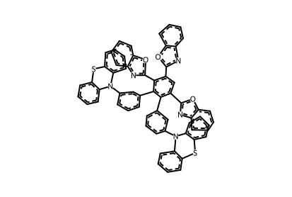 c1cc(-c2c(-c3nc4ccccc4o3)cc(-c3nc4ccccc4o3)c(-c3nc4ccccc4o3)c2-c2cccc(N3c4ccccc4Sc4ccccc43)c2)cc(N2c3ccccc3Sc3ccccc32)c1